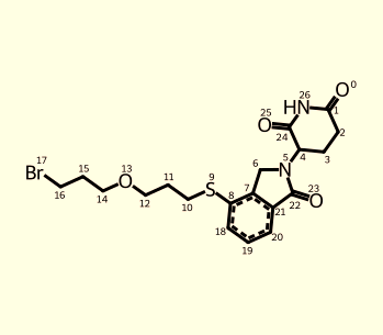 O=C1CCC(N2Cc3c(SCCCOCCCBr)cccc3C2=O)C(=O)N1